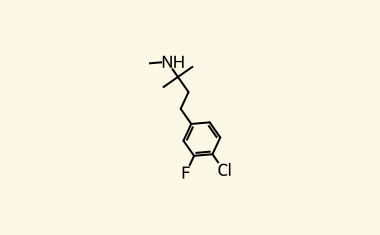 CNC(C)(C)CCc1ccc(Cl)c(F)c1